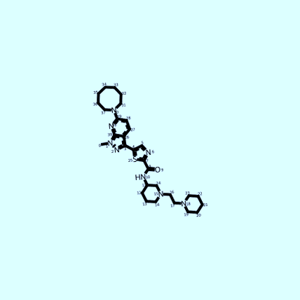 Cn1nc(-c2cnc(C(=O)NC3CCCN(CCN4CCCCC4)C3)s2)c2ccc(N3CCCCCCC3)nc21